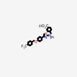 CC(C)N(Cc1ccc(C(=O)O)cc1)c1nc(-c2ccc(OCc3ccc(C(F)(F)F)cc3)cc2)cs1